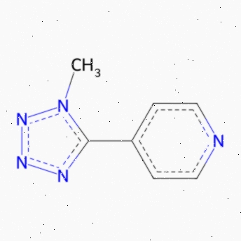 Cn1nnnc1-c1ccncc1